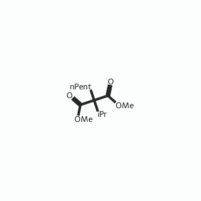 CCCCCC(C(=O)OC)(C(=O)OC)C(C)C